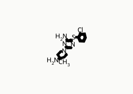 CC1(N)CCN(c2cnc(Sc3ccccc3Cl)c(N)n2)CC1